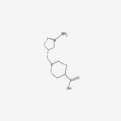 NN1CCC(CN2CCC(C(=O)O)CC2)C1